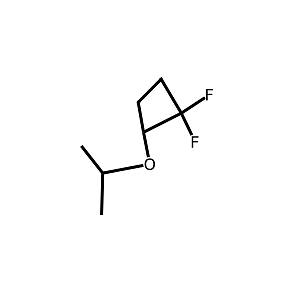 CC(C)OC1CCC1(F)F